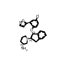 N[C@@H]1CCCN([C@@H]2Cc3ccccc3[C@H]2Oc2ccc(Cl)cc2-c2ccno2)C1